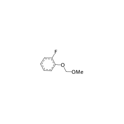 COCOc1ccccc1F